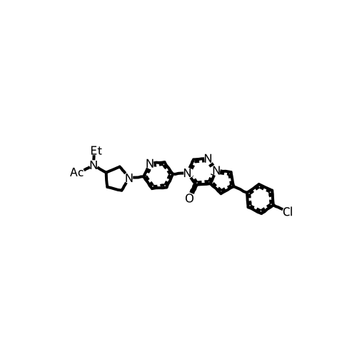 CCN(C(C)=O)C1CCN(c2ccc(-n3cnn4cc(-c5ccc(Cl)cc5)cc4c3=O)cn2)C1